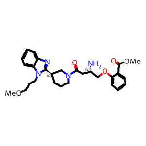 COCCCn1c([C@@H]2CCCN(C(=O)C[C@H](N)COc3ccccc3C(=O)OC)C2)nc2ccccc21